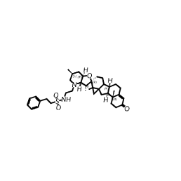 C[C@H]1C[C@H]2O[C@]3(CCC4[C@@H]5CCC6=CC(=O)CC[C@]6(C)[C@H]5CC45CC53C)[C@H](C)[C@@H]2N(CCNS(=O)(=O)CCc2ccccc2)C1